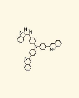 c1ccc2cc(-c3ccc(N(c4ccc(-c5cc6ccccc6cn5)cc4)c4ccc(-c5ncnc6sc7ccccc7c56)cc4)cc3)ncc2c1